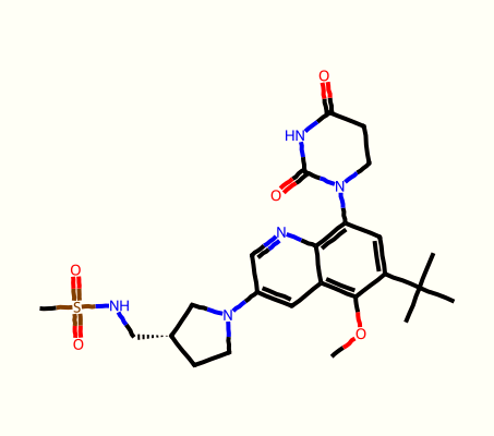 COc1c(C(C)(C)C)cc(N2CCC(=O)NC2=O)c2ncc(N3CC[C@H](CNS(C)(=O)=O)C3)cc12